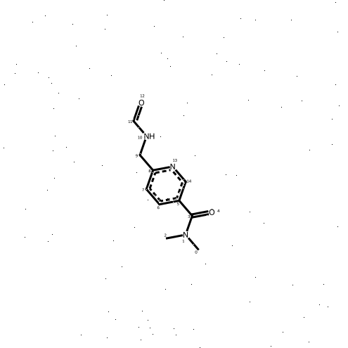 CN(C)C(=O)c1ccc(CNC=O)nc1